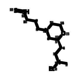 CCN(C)CC[C@H]1CN(CCC[SH]=S)CCO1